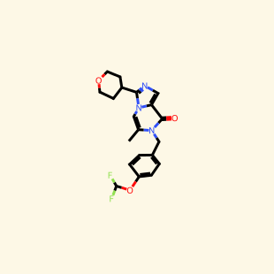 Cc1cn2c(C3CCOCC3)ncc2c(=O)n1Cc1ccc(OC(F)F)cc1